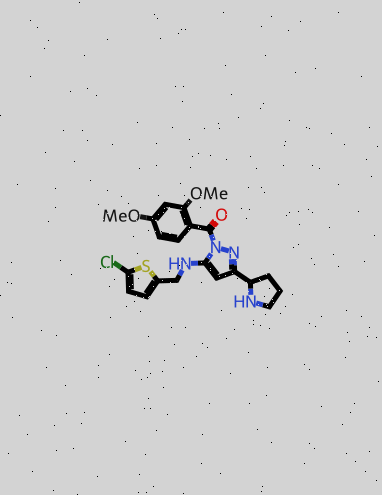 COc1ccc(C(=O)n2nc(C3CCCN3)cc2NCc2ccc(Cl)s2)c(OC)c1